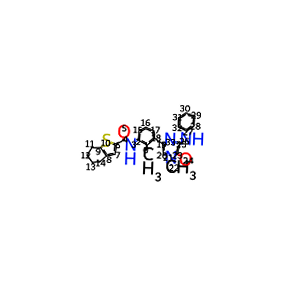 Cc1c(NC(=O)c2cc3c(s2)CCCC3)cccc1-c1cn(C)c(=O)c(Nc2ccccc2)n1